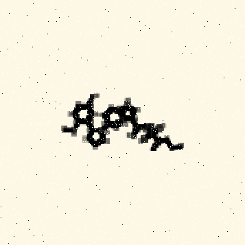 CCCN(C)S(=O)(=O)NC(=O)c1cnc2ccc(N3CCCC3c3cc(F)ccc3OC)cn12